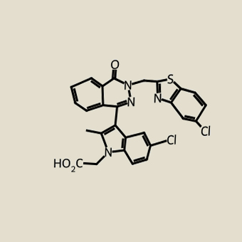 Cc1c(-c2nn(Cc3nc4cc(Cl)ccc4s3)c(=O)c3ccccc23)c2cc(Cl)ccc2n1CC(=O)O